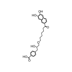 O=C(O)c1ccc(CC(O)COCCCCCCC(=O)c2ccc3cc(O)c(O)cc3c2)cc1